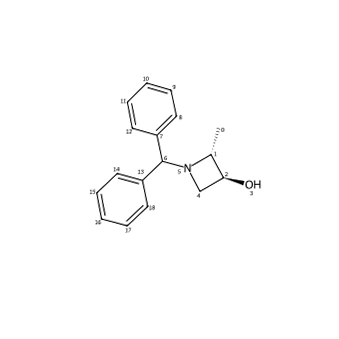 C[C@@H]1[C@@H](O)CN1C(c1ccccc1)c1ccccc1